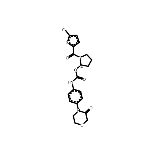 O=C(Nc1ccc(N2CCOCC2=O)cc1)O[C@@H]1CCCN1C(=O)c1ccc(Cl)s1